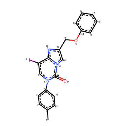 Cc1ccc(-n2cc(I)c3nc(COc4ccccc4)cn3c2=O)cc1